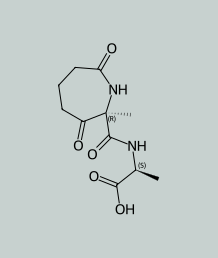 C[C@H](NC(=O)[C@]1(C)NC(=O)CCCC1=O)C(=O)O